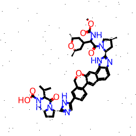 COC(=O)NC(C(=O)N1C[C@@H](C)C[C@H]1c1nc2ccc3cc4c(cc3c2[nH]1)OCc1cc(-c2cnc([C@@H]3CC[C@H](C)N3C(=O)C(NC(=O)O)C(C)C)[nH]2)ccc1-4)C1C[C@@H](C)O[C@H](C)C1